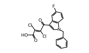 O=C(O)C(Cl)=C(Cl)C(=O)c1cn(Cc2ccccc2)c2ccc(F)cc12